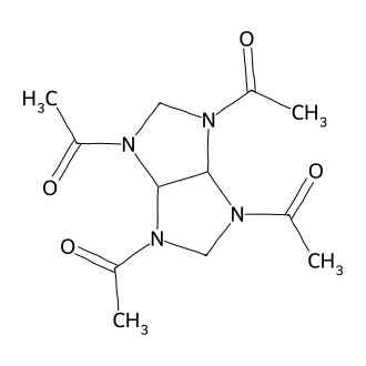 CC(=O)N1CN(C(C)=O)C2C1N(C(C)=O)CN2C(C)=O